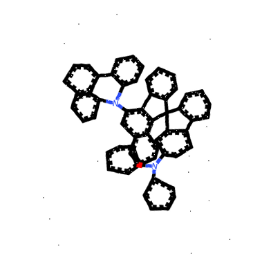 c1ccc(-c2ccccc2N(c2ccccc2)c2cc3ccccc3c3c2-c2ccccc2C32c3ccccc3-c3ccc(N(c4ccccc4)c4ccccc4)cc32)cc1